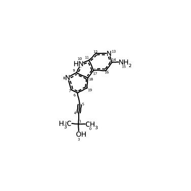 CC(C)(O)C#Cc1cnc2[nH]c3cnc(N)cc3c2c1